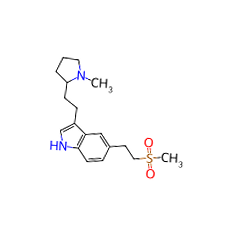 CN1CCCC1CCc1c[nH]c2ccc(CCS(C)(=O)=O)cc12